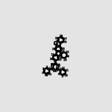 c1ccc(-c2nc(-c3ccccc3)nc(-c3ccc4c(c3)C3(CCCCC3)c3cc5c(cc3-4)oc3ccccc35)n2)cc1